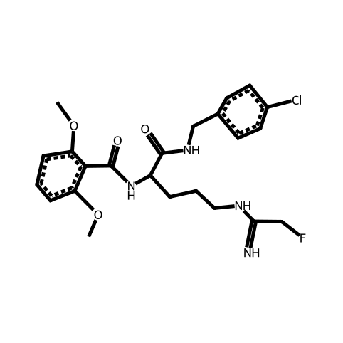 COc1cccc(OC)c1C(=O)NC(CCCNC(=N)CF)C(=O)NCc1ccc(Cl)cc1